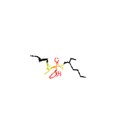 CCCCSP(=O)(O)SCC(CC)CCCC